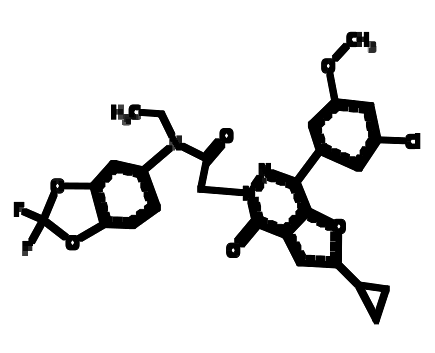 CCN(C(=O)Cn1nc(-c2cc(Cl)cc(OC)c2)c2oc(C3CC3)cc2c1=O)c1ccc2c(c1)OC(F)(F)O2